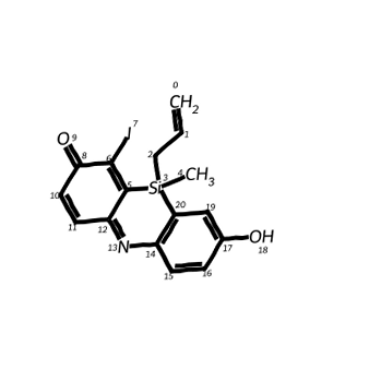 C=CC[Si]1(C)C2=C(I)C(=O)C=CC2=Nc2ccc(O)cc21